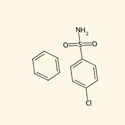 NS(=O)(=O)c1ccc(Cl)cc1.c1ccccc1